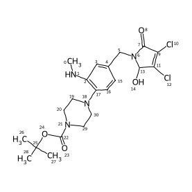 CNc1cc(CN2C(=O)C(Cl)=C(Cl)C2O)ccc1N1CCN(C(=O)OC(C)(C)C)CC1